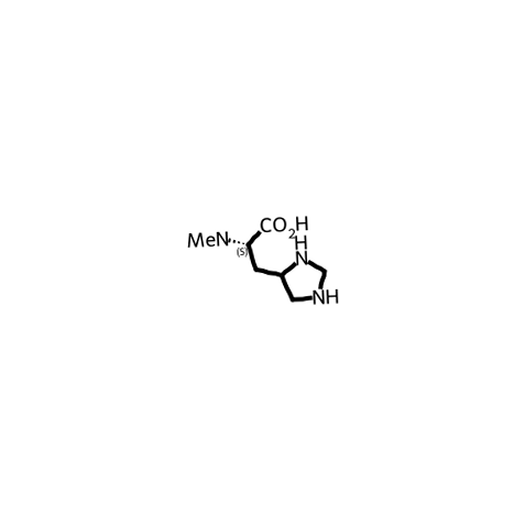 CN[C@@H](CC1CNCN1)C(=O)O